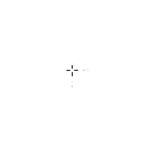 CCC[CH2][Sn]([CH2]CCC)([CH2]CCC)[CH2]CCC.I.I.I.I